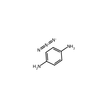 Nc1ccc(N)cc1.[N-]=[N+]=[N-]